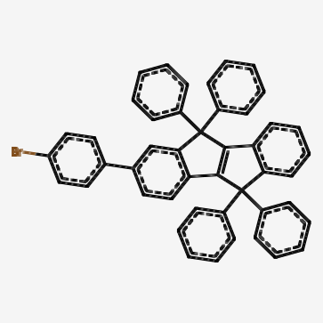 Brc1ccc(-c2ccc3c(c2)C(c2ccccc2)(c2ccccc2)C2=C3C(c3ccccc3)(c3ccccc3)c3ccccc32)cc1